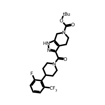 CC(C)(C)OC(=O)N1CCc2c(C(=O)N3CCC(c4c(F)cccc4C(F)(F)F)CC3)n[nH]c2C1